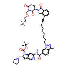 Cc1nn(CCCCCCCC#Cc2cccc3c2CN(C2CCC(=O)N(COCC[Si](C)(C)C)C2=O)C3=O)c2cc(C(=O)Nc3cc4c(cn3)cc(CN3CCCC3)n4C(=O)OC(C)(C)C)ccc12